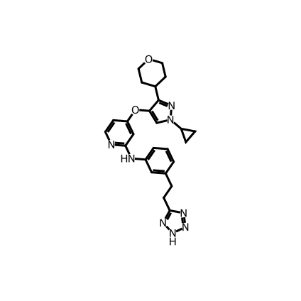 c1cc(CCc2nn[nH]n2)cc(Nc2cc(Oc3cn(C4CC4)nc3C3CCOCC3)ccn2)c1